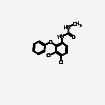 CNC(=O)Nc1ccc(Cl)c(Cl)c1Oc1ccccc1